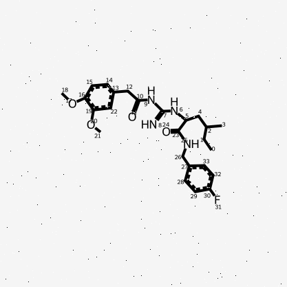 CCC(C)CC(NC(=N)NC(=O)Cc1ccc(OC)c(OC)c1)C(=O)NCc1ccc(F)cc1